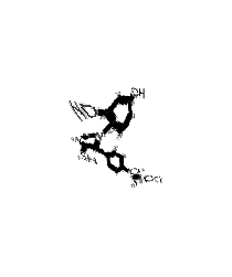 CCCCCCCCOc1ccc(-c2c(S)nnn2-c2ccc(O)cc2O)cc1